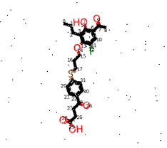 CCCc1c(O)c(C(C)=O)cc(F)c1OCCCSc1ccc(C(=O)CCC(=O)O)cc1